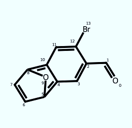 O=Cc1cc2c3ccc(o3)c2cc1Br